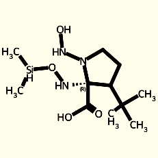 C[SiH](C)ON[C@@]1(C(=O)O)C(C(C)(C)C)CCN1NO